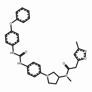 Cc1cc(CC(=O)N(C)C2CCN(c3ccc(NC(=O)Nc4ccc(Oc5ccccc5)cc4)cc3)C2)on1